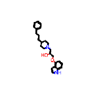 O[C@H](COc1cccc2[nH]ccc12)CN1CCC(CCCc2ccccc2)CC1